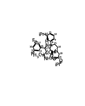 CC(=O)N[C@@H](C)[C@@H](O)C(N[C@]1(c2cccc(C(C)C)c2)CCN(CC(=O)OC(C)C)C(=O)C1)c1cc(F)cc(F)c1